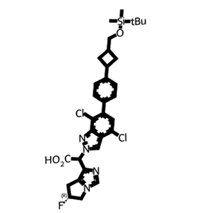 CC(C)(C)[Si](C)(C)OCC1CC(c2ccc(-c3cc(Cl)c4cn(C(C(=O)O)c5ncn6c5C[C@@H](F)C6)nc4c3Cl)cc2)C1